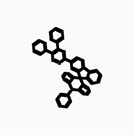 c1ccc(-c2nnc(-c3ccc4c(c3)C3(c5ccccc5-4)c4ccccc4N(c4ccccc4)c4ccccc43)nc2-c2ccccc2)cc1